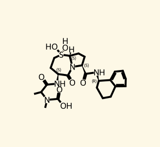 CC(C(=O)N[C@H]1CCS(O)(O)[C@H]2CC[C@@H](C(=O)N[C@@H]3CCCc4ccccc43)N2C1=O)N(C)C(=O)O